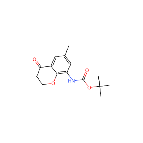 Cc1cc(NC(=O)OC(C)(C)C)c2c(c1)C(=O)CCO2